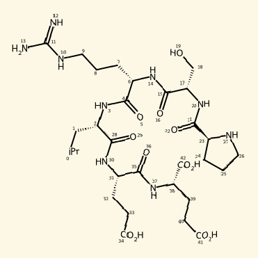 CC(C)C[C@H](NC(=O)[C@H](CCCNC(=N)N)NC(=O)[C@H](CO)NC(=O)[C@@H]1CCCN1)C(=O)N[C@@H](CCC(=O)O)C(=O)N[C@@H](CCC(=O)O)C(=O)O